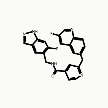 O=C(NCc1cc2cn[nH]c2cc1F)c1ccnc(Cc2ccc3ncc(F)cc3c2)c1